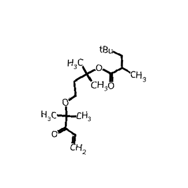 C=CC(=O)C(C)(C)OCCC(C)(C)OC(=O)C(C)CC(C)(C)C